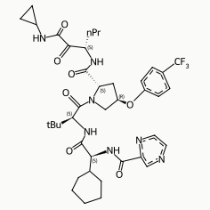 CCC[C@H](NC(=O)[C@@H]1C[C@@H](Oc2ccc(C(F)(F)F)cc2)CN1C(=O)[C@@H](NC(=O)[C@@H](NC(=O)c1cnccn1)C1CCCCC1)C(C)(C)C)C(=O)C(=O)NC1CC1